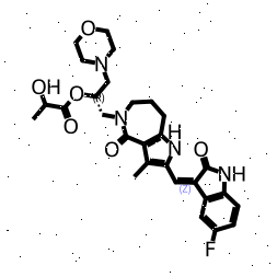 Cc1c(/C=C2\C(=O)Nc3ccc(F)cc32)[nH]c2c1C(=O)N(C[C@@H](CN1CCOCC1)OC(=O)C(C)O)CCC2